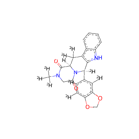 [2H]c1c([2H])c([C@]2([2H])c3[nH]c4ccccc4c3C([2H])([2H])[C@@H]3C(=O)N(C([2H])([2H])[2H])CC(=O)N32)c([2H])c2c1OCO2